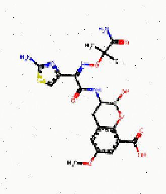 COc1cc2c(c(C(=O)O)c1)OB(O)C(NC(=O)C(=NOC(C)(C)C(N)=O)c1csc(N)n1)C2